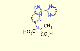 C[C@H](C(=O)O)N(C(=O)O)c1ccc2nnc(-c3ncccn3)n2n1